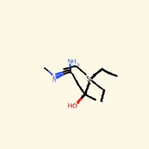 CC[Si](CC)(CC)C(C)(O)C(N)=NC